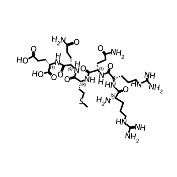 CSCC[C@@H](NC(=O)[C@H](CCC(N)=O)NC(=O)[C@H](CCCNC(=N)N)NC(=O)[C@@H](N)CCCNC(=N)N)C(=O)N[C@@H](CCC(N)=O)C(=O)N[C@@H](CCC(=O)O)C(=O)O